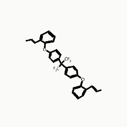 CC=Cc1ccccc1Oc1ccc(C(c2ccc(Oc3ccccc3C=CC)cc2)(C(F)(F)F)C(F)(F)F)cc1